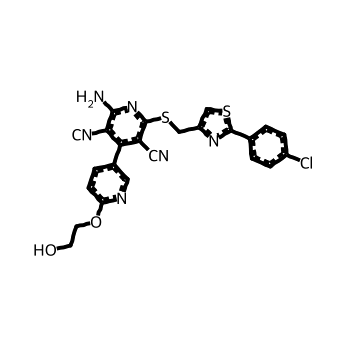 [C-]#[N+]c1c(N)nc(SCc2csc(-c3ccc(Cl)cc3)n2)c(C#N)c1-c1ccc(OCCO)nc1